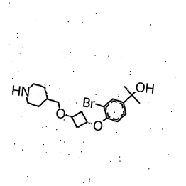 CC(C)(O)c1ccc(O[C@H]2C[C@H](OCC3CCNCC3)C2)c(Br)c1